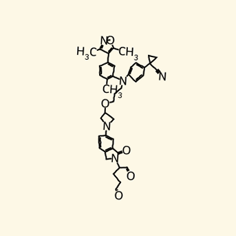 Cc1ccc(-c2c(C)noc2C)cc1N(CCCOC1CN(c2ccc3c(c2)C(=O)N(C(C=O)CCC=O)C3)C1)c1ccc(C2(C#N)CC2)cc1